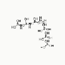 OB(O)O.OB(O)O.OB(O)O.OB(O)O.OB(O)O.OB(O)O.[LiH].[LiH].[LiH]